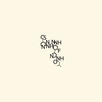 CC(C)CC(=O)Nc1cncc(-c2cc3c(-c4nc5c(-c6cccs6)ccnc5[nH]4)n[nH]c3cc2F)c1